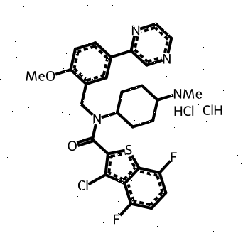 CNC1CCC(N(Cc2cc(-c3cnccn3)ccc2OC)C(=O)c2sc3c(F)ccc(F)c3c2Cl)CC1.Cl.Cl